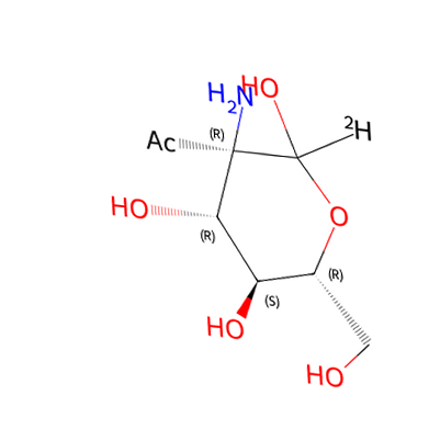 [2H]C1(O)O[C@H](CO)[C@@H](O)[C@H](O)[C@]1(N)C(C)=O